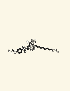 CCCCCCCCCCS(=O)(=O)NC(CNS(=O)(=O)c1ccc(OC)cc1)C(=O)NO